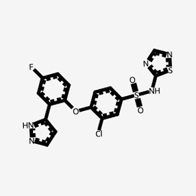 O=S(=O)(Nc1ncns1)c1ccc(Oc2ccc(F)cc2-c2ccn[nH]2)c(Cl)c1